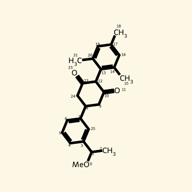 COC(C)c1cccc(C2CC(=O)C(c3c(C)cc(C)cc3C)C(=O)C2)c1